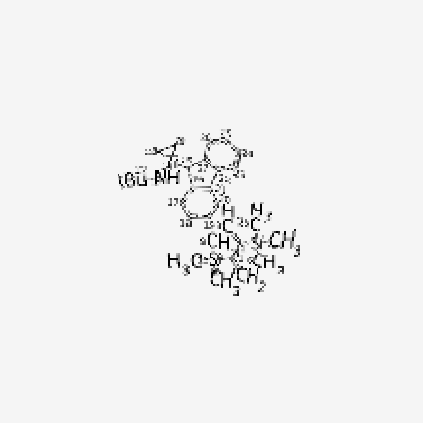 C=C(C(=C)[Si](C)(C)C)[Si](C)(C)C.CC(C)(C)[NH][Ti]1([CH]2c3ccccc3-c3ccccc32)[CH2][CH2]1